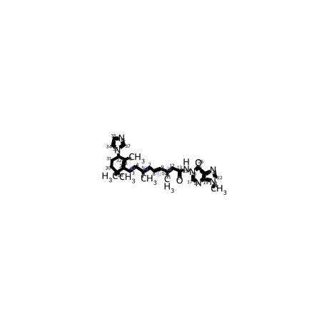 CC1=C(/C=C/C(C)=C/C=C/C(C)=C/C(=O)Nn2cnc3c(ncn3C)c2=O)C(C)(C)CCC1n1ccnc1